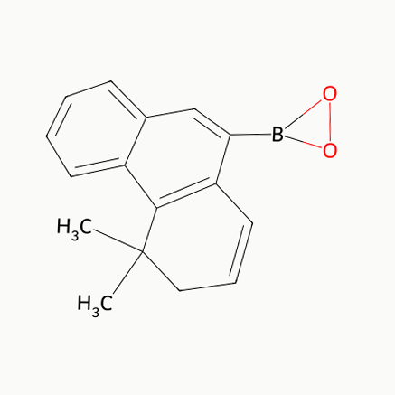 CC1(C)CC=Cc2c(B3OO3)cc3ccccc3c21